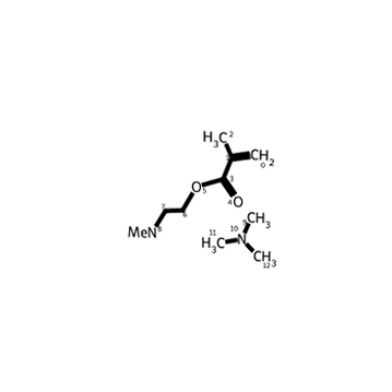 C=C(C)C(=O)OCCNC.CN(C)C